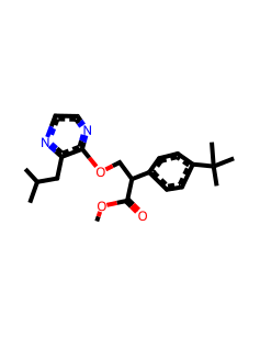 COC(=O)C(COc1nccnc1CC(C)C)c1ccc(C(C)(C)C)cc1